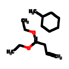 C=CC[SiH](OCC)OCC.CC1CCCCC1